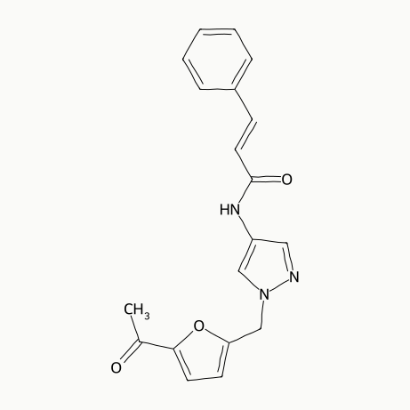 CC(=O)c1ccc(Cn2cc(NC(=O)C=Cc3ccccc3)cn2)o1